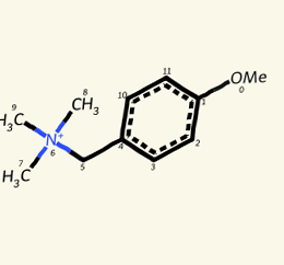 COc1ccc(C[N+](C)(C)C)cc1